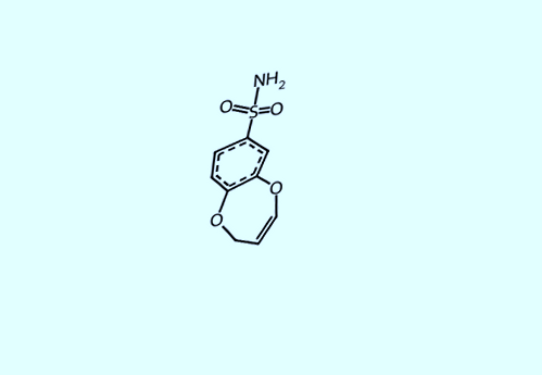 NS(=O)(=O)c1ccc2c(c1)OC=CCO2